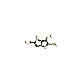 Cc1c(N)oc2cc(N)[nH]c12